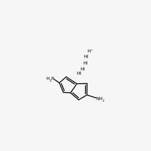 I.I.I.I.NC1=CC2=CC(N)=CC2=C1.[H+]